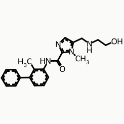 Cc1c(NC(=O)c2ncc(CNCCO)n2C)cccc1-c1ccccc1